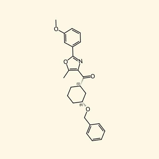 COc1cccc(-c2nc(C(=O)[C@H]3CCC[C@@H](OCc4ccccc4)C3)c(C)o2)c1